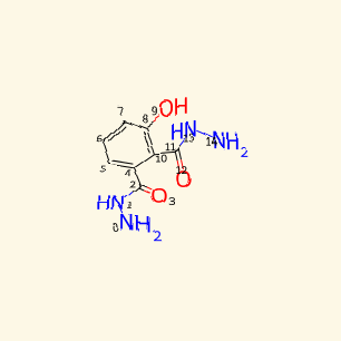 NNC(=O)c1cccc(O)c1C(=O)NN